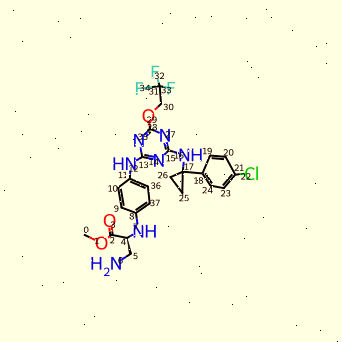 COC(=O)[C@H](CN)Nc1ccc(Nc2nc(NC3(c4ccc(Cl)cc4)CC3)nc(OCC(F)(F)F)n2)cc1